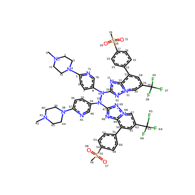 CN1CCN(c2ccc(N(c3nc4c(-c5ccc(S(C)(=O)=O)cc5)cc(C(F)(F)F)cn4n3)N(c3ccc(N4CCN(C)CC4)nc3)c3nc4c(-c5ccc(S(C)(=O)=O)cc5)cc(C(F)(F)F)cn4n3)cn2)CC1